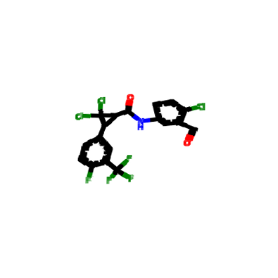 O=Cc1cc(NC(=O)C2C(c3ccc(F)c(C(F)(F)F)c3)C2(Cl)Cl)ccc1Cl